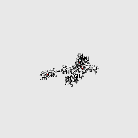 COC(=O)N[C@H](C(=O)N[C@@H](Cc1ccc(C#Cc2ccc(N3CC4CCC(C3)N4C3COC3)nc2)cc1)[C@H](CN(Cc1c(F)cc(-c2ccn(C(F)F)n2)cc1F)NC(=O)[C@@H](NC(=O)OC)C(C)(C)C(F)(F)F)OC(=O)OCOP(=O)(O)O)C(C)(C)C(F)(F)F